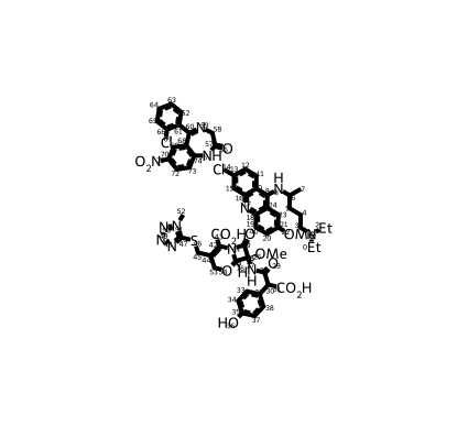 CCN(CC)CCCC(C)Nc1c2ccc(Cl)cc2nc2ccc(OC)cc12.CO[C@@]1(NC(=O)C(C(=O)O)c2ccc(O)cc2)C(=O)N2C(C(=O)O)=C(CSc3nnnn3C)CO[C@@H]21.O=C1CN=C(c2ccccc2Cl)c2cc([N+](=O)[O-])ccc2N1